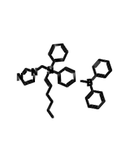 CB(c1ccccc1)c1ccccc1.CCCCC=C[Si](Cn1ccnc1)(c1ccccc1)c1ccccc1